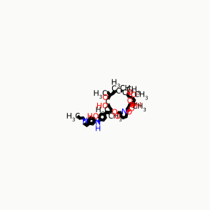 CCCn1ccc2cc(NC3CCC(C=C(C)C4OC(=O)C5CCCCN5C(=O)C(=O)C5(O)OC(C(OC)CC(C)C/C(C)=C/C(CC)C(=O)CC(O)C4C)C(OC)CC5C)CC3O)ccc21